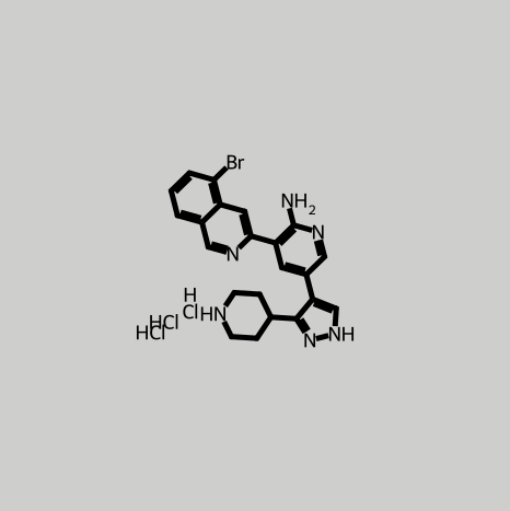 Cl.Cl.Cl.Nc1ncc(-c2c[nH]nc2C2CCNCC2)cc1-c1cc2c(Br)cccc2cn1